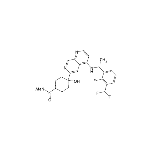 CNC(=O)C1CCC(O)(c2cc3c(N[C@H](C)c4cccc(C(F)F)c4F)ccnc3cn2)CC1